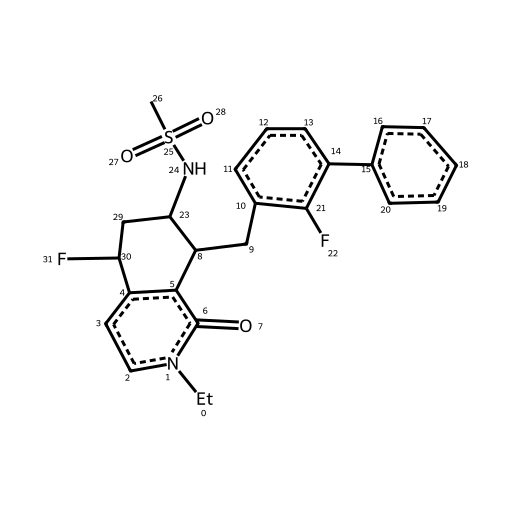 CCn1ccc2c(c1=O)C(Cc1cccc(-c3ccccc3)c1F)C(NS(C)(=O)=O)CC2F